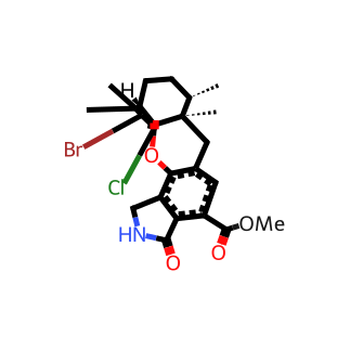 COC(=O)c1cc2c(c3c1C(=O)NC3)O[C@@]13CC(Cl)C(Br)C(C)(C)[C@@H]1CC[C@H](C)[C@@]3(C)C2